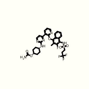 Cc1c(F)c(NS(=O)(=O)CCC(F)(F)F)c2ccccc2c1Oc1ncccc1-c1ccnc(N[C@H]2CC[C@H](OC(N)=O)CC2)n1